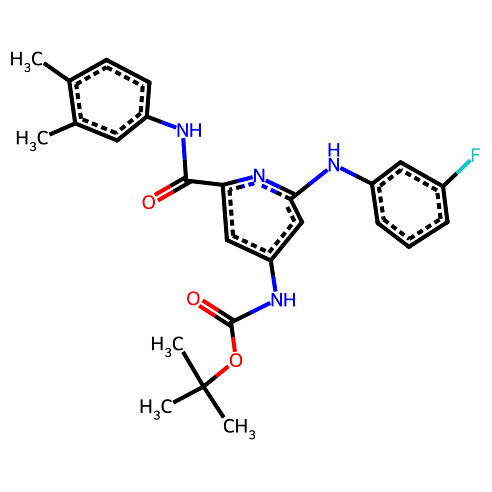 Cc1ccc(NC(=O)c2cc(NC(=O)OC(C)(C)C)cc(Nc3cccc(F)c3)n2)cc1C